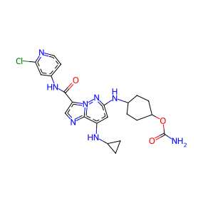 NC(=O)OC1CCC(Nc2cc(NC3CC3)c3ncc(C(=O)Nc4ccnc(Cl)c4)n3n2)CC1